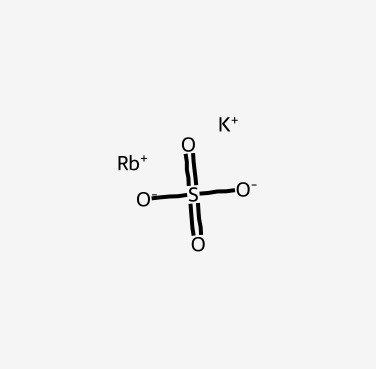 O=S(=O)([O-])[O-].[K+].[Rb+]